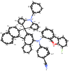 N#Cc1ccc(N(c2cc3c(c4ccccc24)-c2c(ccc4ccccc24)C32c3ccccc3N(c3ccccc3)c3ccccc32)c2cccc3c2oc2c(F)cccc23)cc1